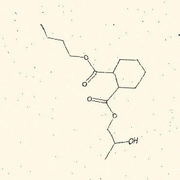 CCCCOC(=O)C1CCCCC1C(=O)OCC(C)O